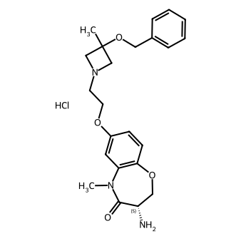 CN1C(=O)[C@@H](N)COc2ccc(OCCN3CC(C)(OCc4ccccc4)C3)cc21.Cl